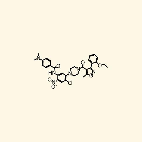 CCOc1ccccc1-c1noc(C)c1C(=O)N1CCN(c2cc(NC(=O)c3ccc(N(C)C)cc3)c([N+](=O)[O-])cc2Cl)CC1